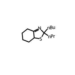 CCCCC1(CCC)N=C2CCCCC2S1